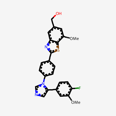 COc1cc(-c2cncn2-c2ccc(-c3nc4cc(CO)cc(OC)c4s3)cc2)ccc1F